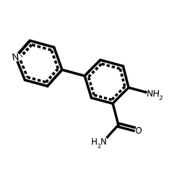 NC(=O)c1cc(-c2ccncc2)ccc1N